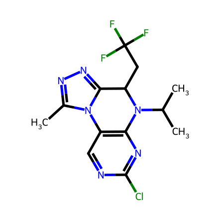 Cc1nnc2n1-c1cnc(Cl)nc1N(C(C)C)C2CC(F)(F)F